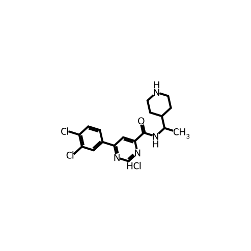 CC(NC(=O)c1cc(-c2ccc(Cl)c(Cl)c2)ncn1)C1CCNCC1.Cl